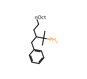 CCCCCCCCCCC(Cc1ccccc1)C(C)(C)P